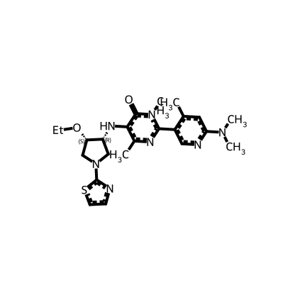 CCO[C@H]1CN(c2nccs2)C[C@H]1Nc1c(C)nc(-c2cnc(N(C)C)cc2C)n(C)c1=O